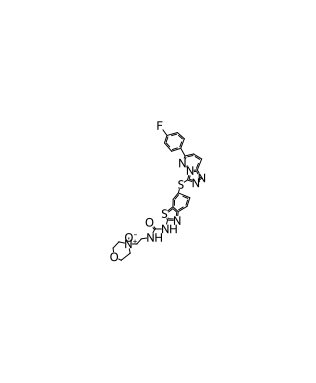 O=C(NCC[N+]1([O-])CCOCC1)Nc1nc2ccc(Sc3nnc4ccc(-c5ccc(F)cc5)nn34)cc2s1